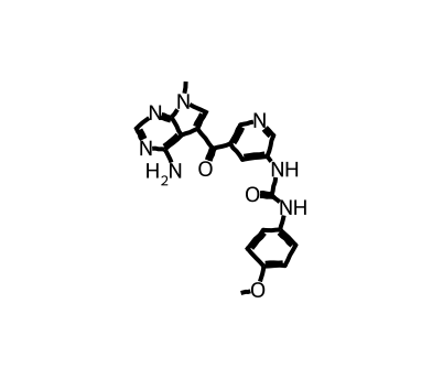 COc1ccc(NC(=O)Nc2cncc(C(=O)c3cn(C)c4ncnc(N)c34)c2)cc1